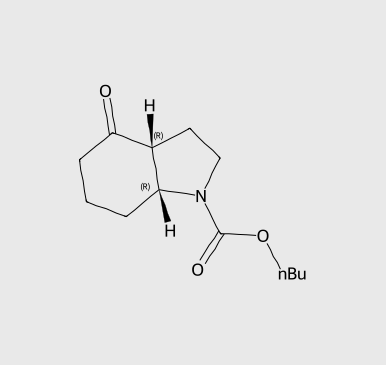 CCCCOC(=O)N1CC[C@H]2C(=O)CCC[C@H]21